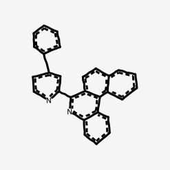 c1ccc(-c2ccnc(-c3nc4ccccc4c4c3ccc3ccccc34)c2)cc1